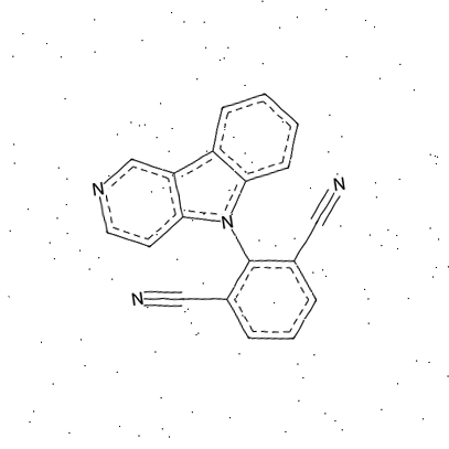 N#Cc1cccc(C#N)c1-n1c2ccccc2c2cnccc21